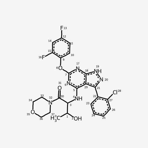 CC(O)C(Nc1nc(Oc2ccc(F)cc2F)nc2[nH]nc(-c3ccccc3Cl)c12)C(=O)N1CCOCC1